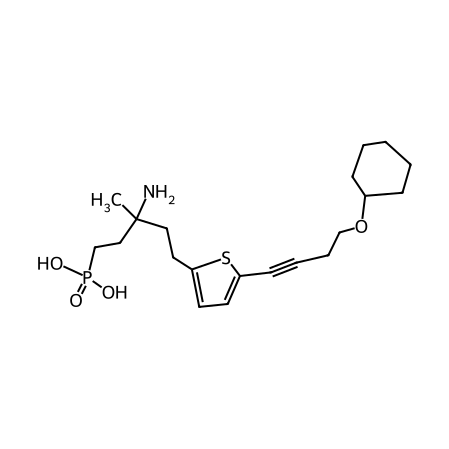 CC(N)(CCc1ccc(C#CCCOC2CCCCC2)s1)CCP(=O)(O)O